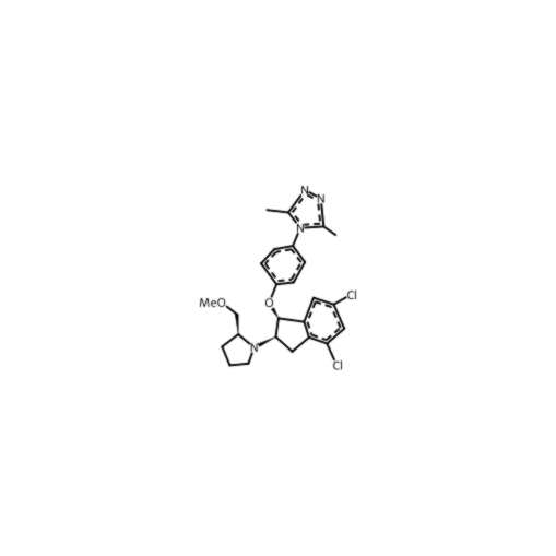 COC[C@@H]1CCCN1[C@@H]1Cc2c(Cl)cc(Cl)cc2[C@@H]1Oc1ccc(-n2c(C)nnc2C)cc1